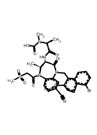 COc1ccc2c(Br)cccc2c1CN1C(=O)[C@@H](NC(=O)C(C)N(C)C(=O)O)[C@H](C)N(C(=O)CS(C)(=O)=O)c2ccc(C#N)cc21